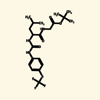 CC(C)CC(NC(=O)Nc1ccc(SC(F)(F)F)cc1)C(=O)NCC(=O)OC(C)(C)C